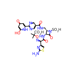 CC(C)(ON=C(C(=O)N[C@@H]1C(=O)N(S(=O)(=O)O)[C@@H]1CNC(=O)c1cnc(-c2cc(=O)cc(O)[nH]2)nc1)c1csc(N)n1)C(=O)O